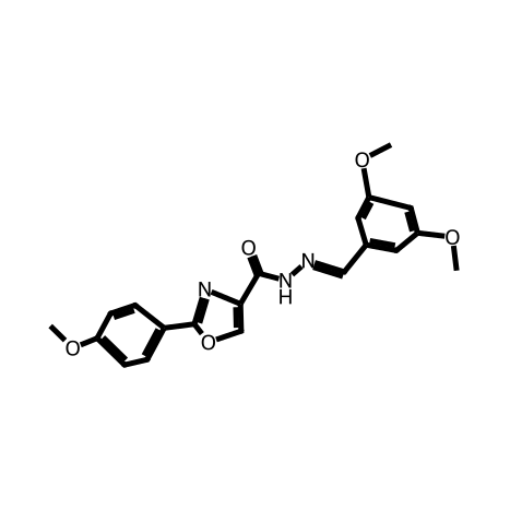 COc1ccc(-c2nc(C(=O)N/N=C/c3cc(OC)cc(OC)c3)co2)cc1